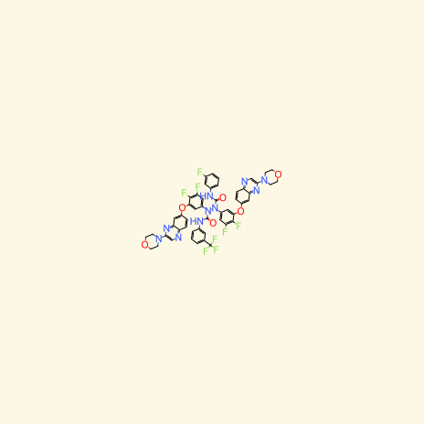 O=C(Nc1cccc(F)c1)N(c1cc(F)c(F)c(Oc2ccc3ncc(N4CCOCC4)nc3c2)c1)N(C(=O)Nc1cccc(C(F)(F)F)c1)c1cc(F)c(F)c(Oc2ccc3ncc(N4CCOCC4)nc3c2)c1